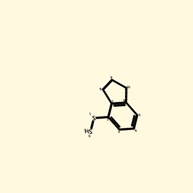 SSc1cccc2c1CCC2